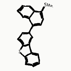 CSc1ccc(-c2ccc3sc4ccccc4c3c2)c2ccccc12